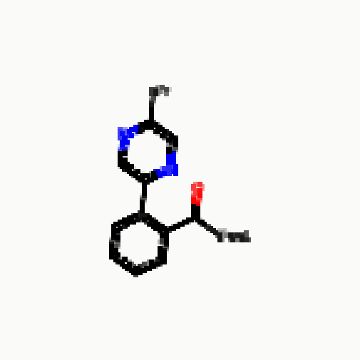 CCCc1cnc(-c2ccccc2C(=O)C(C)CCC)cn1